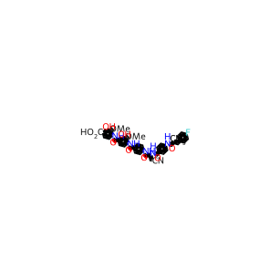 COc1c(NC(=O)c2ccc(NC(=O)c3ccc(NC(=O)C(CC#N)NC(=O)c4ccc(NC(=O)/C(C)=C/c5ccc(F)cc5)cc4)cc3)c(OC)c2O)ccc(C(=O)O)c1O